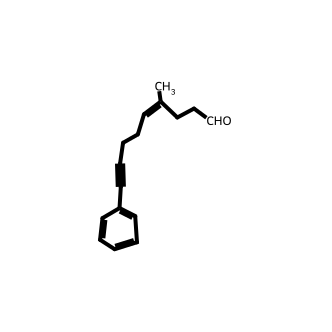 CC(=CCCC#Cc1ccccc1)CCC=O